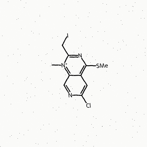 CSc1nc(CI)[n+](C)c2cnc(Cl)cc12